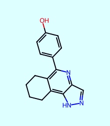 Oc1ccc(-c2nc3cn[nH]c3c3c2CCCC3)cc1